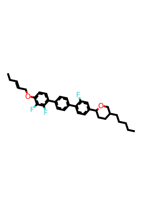 CC/C=C/COc1ccc(-c2ccc(-c3ccc(C4CCC(CCCCC)CO4)cc3F)cc2)c(F)c1F